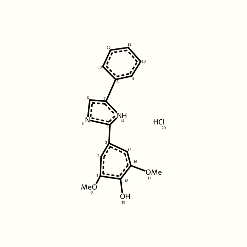 COc1cc(-c2ncc(-c3ccccc3)[nH]2)cc(OC)c1O.Cl